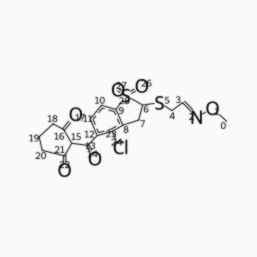 CON=CCSC1Cc2c(ccc(C(=O)C3C(=O)CCCC3=O)c2Cl)S1(=O)=O